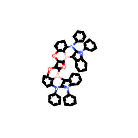 c1ccc(N2c3cccc4c3B(c3oc5c(c3O4)Oc3cccc4c3B5c3c(n(-c5ccccc5)c5ccccc35)N4c3ccccc3)c3c2n(-c2ccccc2)c2ccccc32)cc1